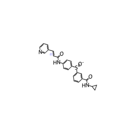 O=C(/C=C/c1cccnc1)Nc1ccc([S+]([O-])c2cccc(C(=O)NC3CC3)c2)cc1